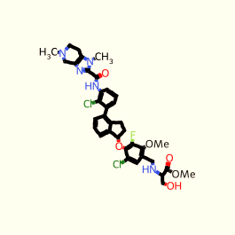 COC(=O)C(CO)NCc1cc(Cl)c(OC2CCc3c(-c4cccc(NC(=O)c5nc6c(n5C)CCN(C)C6)c4Cl)cccc32)c(F)c1OC